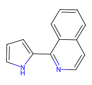 c1c[nH]c(-c2nccc3ccccc23)c1